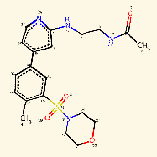 CC(=O)NCCNc1cc(-c2ccc(C)c(S(=O)(=O)N3CCOCC3)c2)ccn1